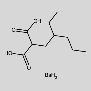 CCCC(CC)CC(C(=O)O)C(=O)O.[BaH2]